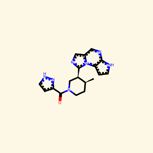 C[C@H]1CCN(C(=O)c2cc[nH]n2)C[C@H]1c1ncc2cnc3[nH]ccc3n12